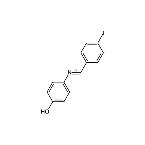 Oc1ccc(/N=C/c2ccc(I)cc2)cc1